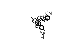 CCOC(=O)[C@]1(C(=O)C(N)Cc2cccc(C#N)c2)CC(C)=CCN1S(=O)(=O)c1ccc2c(c1)CNCC2